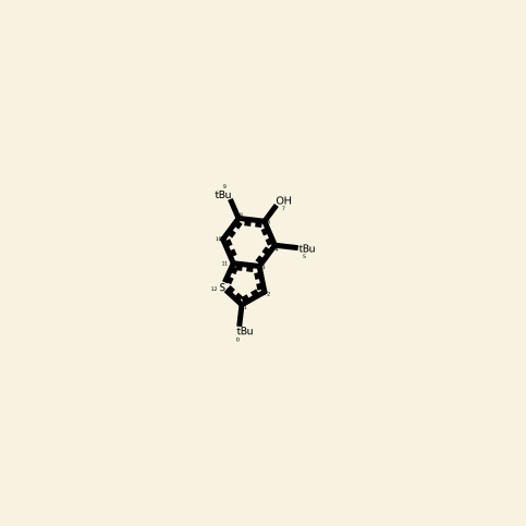 CC(C)(C)c1cc2c(C(C)(C)C)c(O)c(C(C)(C)C)cc2s1